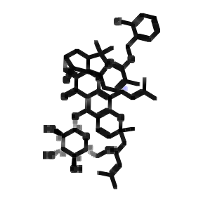 CC(C)=CCCC1(C)C=Cc2c(c(CC=C(C)C)c3c(c2O[C@@H]2O[C@H](CO)[C@@H](O)[C@H](O)[C@H]2O)C(=O)C2=CC4CC5C(C)(C)OC(C/C=C(/C)C(=O)OCc6ccccc6Cl)(C4=O)C25O3)O1